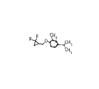 Cc1cc(C(C)C)ccc1OCC1CC1(F)F